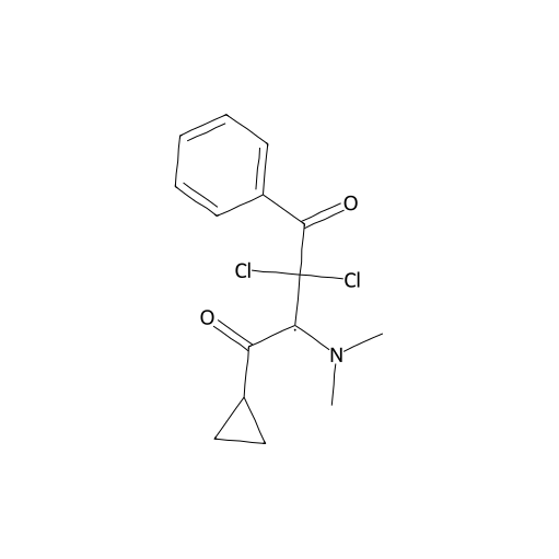 CN(C)[C](C(=O)C1CC1)C(Cl)(Cl)C(=O)c1ccccc1